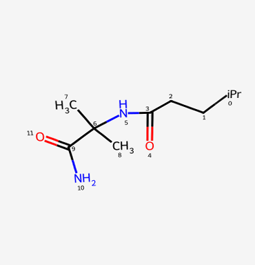 CC(C)CCC(=O)NC(C)(C)C(N)=O